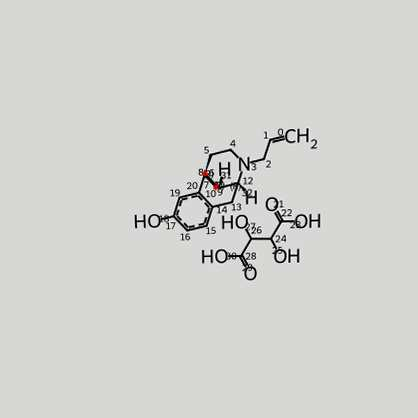 C=CCN1CC[C@]23CCCC[C@H]2[C@H]1Cc1ccc(O)cc13.O=C(O)C(O)C(O)C(=O)O